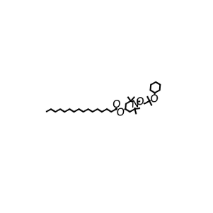 CCCCCCCCCCCCCCCC(=O)OC1CC(C)(C)N(OCC(C)(C)OC2CCCCC2)C(C)(C)C1